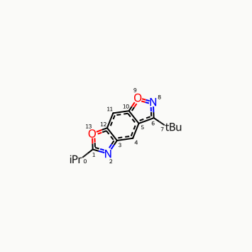 CC(C)c1nc2cc3c(C(C)(C)C)noc3cc2o1